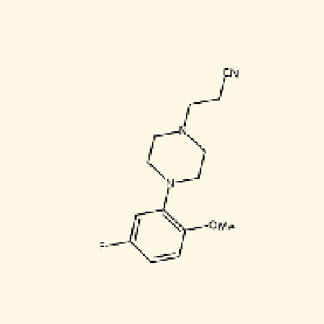 COc1ccc(F)cc1N1CCN(CCC#N)CC1